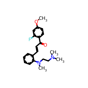 COc1ccc(C(=O)C=Cc2ccccc2N(C)CCN(C)C)c(F)c1